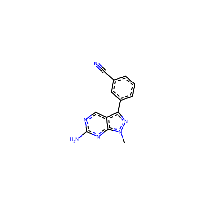 Cn1nc(-c2cccc(C#N)c2)c2cnc(N)nc21